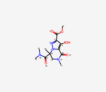 COC(=O)c1nn2c(c1O)C(=O)N(C)CC2(C)C(=O)N(C)C